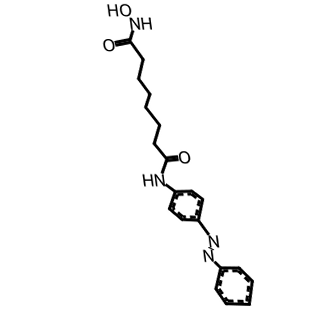 O=C(CCCCCCC(=O)Nc1ccc(/N=N/c2ccccc2)cc1)NO